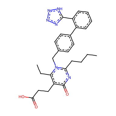 CCCCc1nc(=O)c(CCC(=O)O)c(CC)n1Cc1ccc(-c2ccccc2-c2nnn[nH]2)cc1